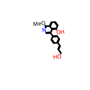 COc1ncc(-c2ccc(/C=C/CO)cc2)c2c(O)cccc12